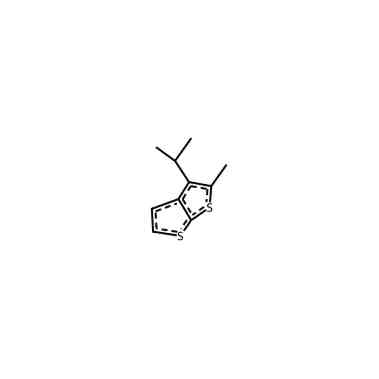 Cc1sc2sccc2c1C(C)C